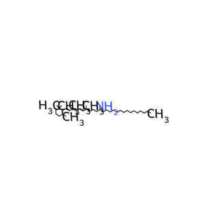 CCCCCCCCCCCCCCCC(N)CC/C=C(C)/C=C/C=C(C)/C=C/C1=C(C)CCCC1(C)C